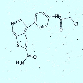 NC(=O)c1cc2c(-c3ccc(NC(=O)CCl)cc3)cncc2s1